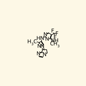 CNc1nc(Nc2cn([C@@H]3CCn4ccnc43)nc2C)ncc1C(F)(F)F